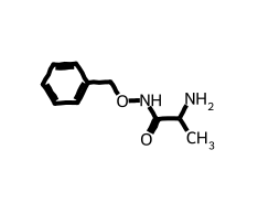 CC(N)C(=O)NOCc1ccccc1